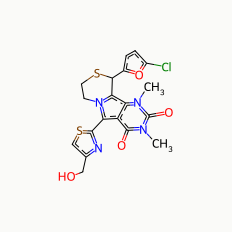 Cn1c(=O)c2c(-c3nc(CO)cs3)n3c(c2n(C)c1=O)C(c1ccc(Cl)o1)SCC3